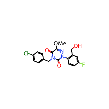 COc1nn(-c2ccc(F)cc2CO)c(=O)n(Cc2ccc(Cl)cc2)c1=O